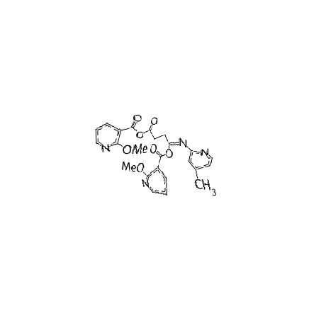 COc1ncccc1C(=O)OC(=O)CCC(=Nc1cc(C)ccn1)OC(=O)c1cccnc1OC